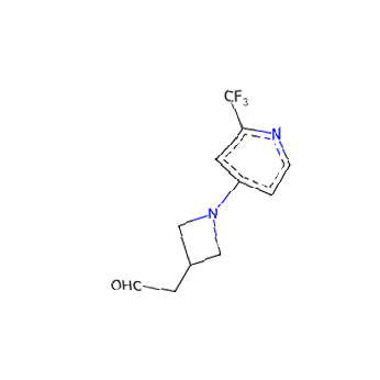 O=CCC1CN(c2ccnc(C(F)(F)F)c2)C1